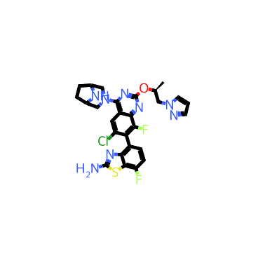 C[C@@H](Cn1cccn1)Oc1nc(N2CC3CCC(C2)N3)c2cc(Cl)c(-c3ccc(F)c4sc(N)nc34)c(F)c2n1